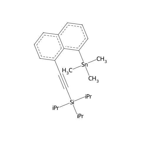 CC(C)[Si](C#Cc1cccc2ccc[c]([Sn]([CH3])([CH3])[CH3])c12)(C(C)C)C(C)C